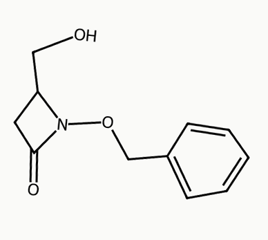 O=C1CC(CO)N1OCc1ccccc1